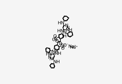 O=S(=O)([O-])c1cc(NC2(Nc3ccccc3)C=C(Nc3ccccc3)N=NN2)ccc1C=Cc1ccc(NC2(Nc3ccccc3)C=C(Nc3ccccc3)N=NN2)cc1S(=O)(=O)[O-].[Na+].[Na+]